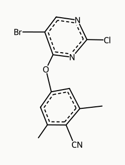 Cc1cc(Oc2nc(Cl)ncc2Br)cc(C)c1C#N